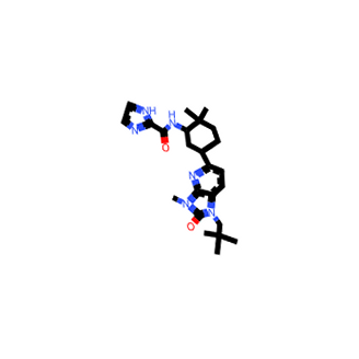 Cn1c(=O)n(CC(C)(C)C)c2ccc(C3CCC(C)(C)C(NC(=O)c4ncc[nH]4)C3)nc21